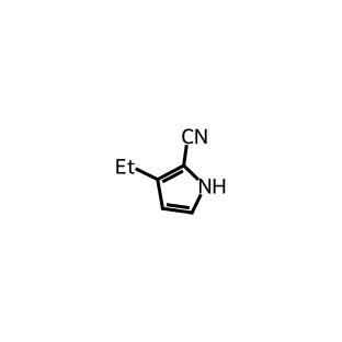 CCc1cc[nH]c1C#N